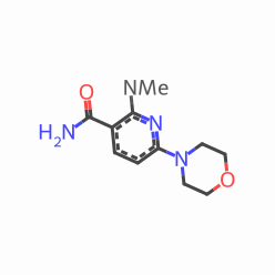 CNc1nc(N2CCOCC2)ccc1C(N)=O